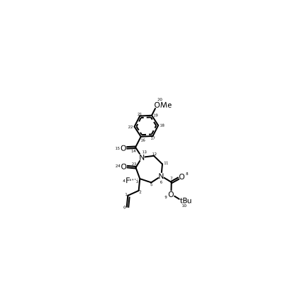 C=CC[C@]1(F)CN(C(=O)OC(C)(C)C)CCN(C(=O)c2ccc(OC)cc2)C1=O